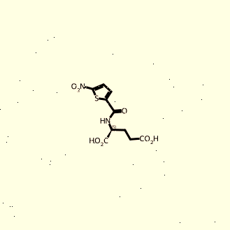 O=C(O)CC[C@H](NC(=O)c1ccc([N+](=O)[O-])s1)C(=O)O